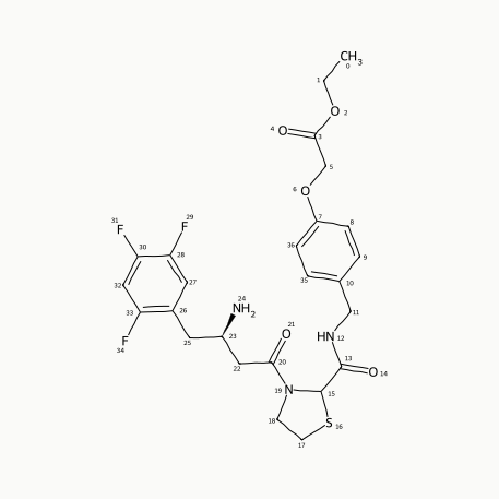 CCOC(=O)COc1ccc(CNC(=O)C2SCCN2C(=O)C[C@H](N)Cc2cc(F)c(F)cc2F)cc1